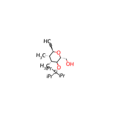 C#C[C@H]1O[C@H](CO)[C@@H](O[Si](C(C)C)(C(C)C)C(C)C)[C@H](C)[C@@H]1C